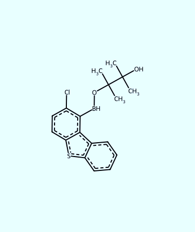 CC(C)(O)C(C)(C)OBc1c(Cl)ccc2sc3ccccc3c12